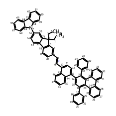 CCC1(CC)c2cc(/C=C/c3ccc(-c4cc(-c5ccccc5)c5c6ccccc6c6ccccc6c5c4-c4ccccc4)c4ccccc34)ccc2-c2ccc(-n3c4ccccc4c4ccccc43)cc21